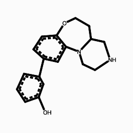 Oc1cccc(-c2ccc3c(c2)N2CCNCC2CCO3)c1